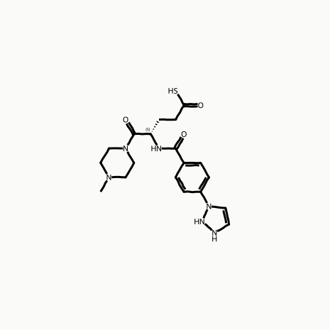 CN1CCN(C(=O)[C@H](CCC(=O)S)NC(=O)c2ccc(N3C=CNN3)cc2)CC1